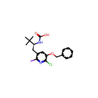 CC(C)(C)[C@H](Cc1cc(OCc2ccccc2)c(Cl)nc1I)NC(=O)O